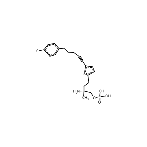 CC(N)(CCc1ccc(C#CCCCc2ccc(Cl)cc2)s1)COP(=O)(O)O